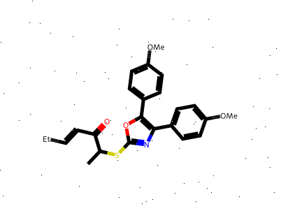 CC/C=C/C(=O)C(C)Sc1nc(-c2ccc(OC)cc2)c(-c2ccc(OC)cc2)o1